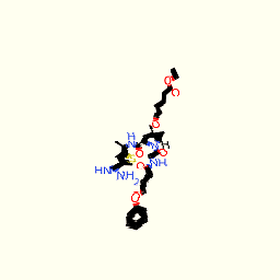 CCOC(=O)CCCCCOC[C@@]12C[C@@H]1N(C(=O)CNC(=O)CCCOc1ccccc1)[C@H](C(=O)N[C@H](C)c1cc(C(=N)N)cs1)C2